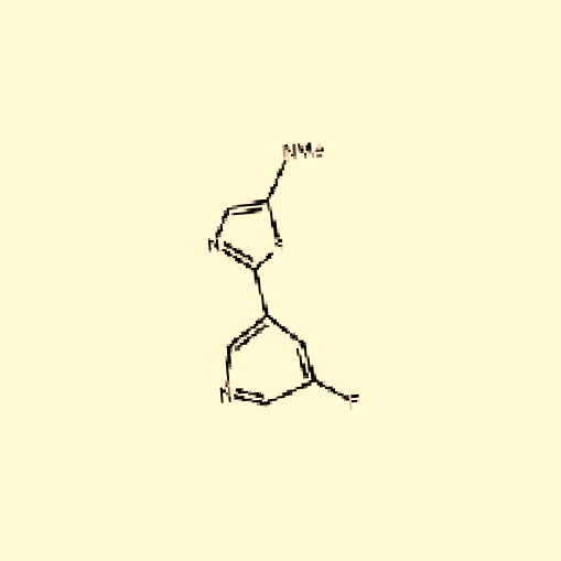 CNc1cnc(-c2cncc(F)c2)s1